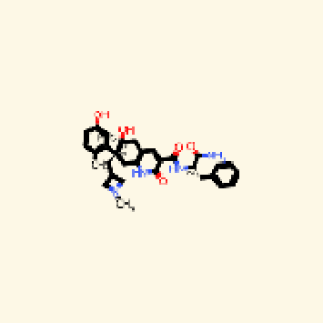 Cc1ccc(O)cc1[C@@]1(CC2CN(C)C2)Cc2[nH]c(=O)c(C(=O)N[C@@H](Cc3ccccc3)C(N)=O)cc2C[C@]1(C)O